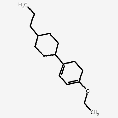 CCCC1CCC(C2=CC=C(OCC)CC2)CC1